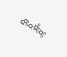 COc1ccc(Cn2c(=O)c(C)c(-c3ccc(Oc4nccc5cccnc45)cc3C)n(C)c2=O)cc1OC